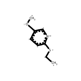 CCSc1ccc(OC)cn1